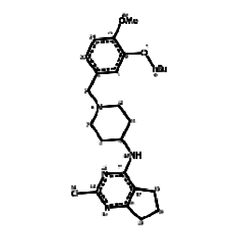 CCCCOc1cc(CN2CCC(Nc3nc(Cl)nc4c3CCC4)CC2)ccc1OC